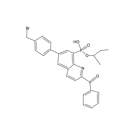 CCC(C)OP(=O)(O)c1cc(-c2ccc(CBr)cc2)cc2ccc(C(=O)c3ccccc3)nc12